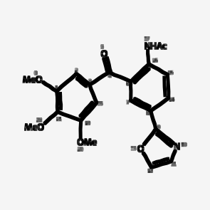 COc1cc(C(=O)c2cc(-c3ncco3)ccc2NC(C)=O)cc(OC)c1OC